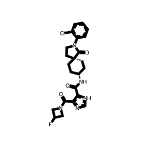 O=C(N[C@H]1CC[C@@]2(CCN(c3ccccc3Cl)C2=O)CC1)c1[nH]cnc1C(=O)N1CC(F)C1